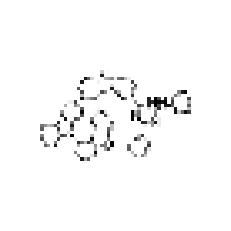 c1ccc(C2=NC(c3ccccc3)NC(c3ccc4oc5cccc(-c6ccc7oc8cccc(-n9c%10ccccc%10c%10ccccc%109)c8c7c6)c5c4c3)=N2)cc1